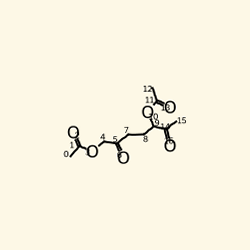 CC(=O)OCC(=O)CCC(OC(C)=O)C(C)=O